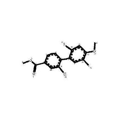 COC(=O)c1ccc(-c2cc(I)c(OC)cc2F)c(Cl)c1